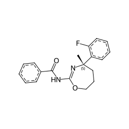 C[C@@]1(c2ccccc2F)CCCOC(NC(=O)c2ccccc2)=N1